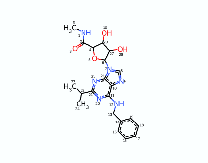 CNC(=O)C1OC(n2cnc3c(NCc4ccccc4)nc(C(C)C)nc32)C(O)C1O